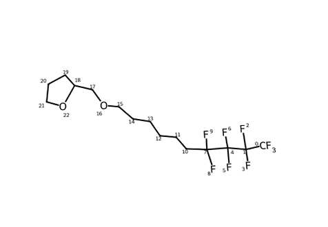 FC(F)(F)C(F)(F)C(F)(F)C(F)(F)CCCCCCOCC1CCCO1